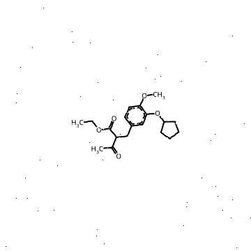 CCOC(=O)C(Cc1ccc(OC)c(OC2CCCC2)c1)C(C)=O